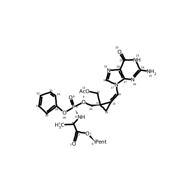 CCC[C@H](C)OC(=O)C(C)N[P@](=O)(OC[C@]1(COC(C)=O)C/C1=C/n1cnc2c(=O)[nH]c(N)nc21)Oc1ccccc1